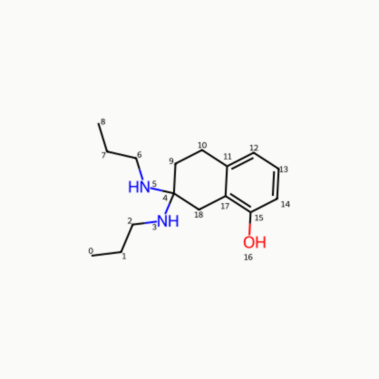 CCCNC1(NCCC)CCc2cccc(O)c2C1